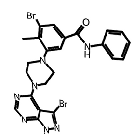 Cc1c(Br)cc(C(=O)Nc2ccccc2)cc1N1CCN(c2ncnc3[nH]nc(Br)c23)CC1